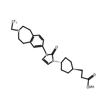 COC(=O)CC[C@H]1CC[C@H](n2ccn(-c3ccc4c(c3)CCN(CC(F)(F)F)CC4)c2=O)CC1